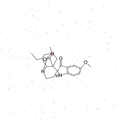 CCC1CC2CN3CCC4(Nc5ccc(OC)cc5C4=O)C(C(=O)OC)(C2)C13